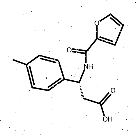 Cc1ccc([C@@H](CC(=O)O)NC(=O)c2ccco2)cc1